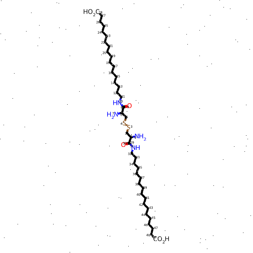 NC(CSSCC(N)C(=O)NCCCCCCCCCCCCCCCCCC(=O)O)C(=O)NCCCCCCCCCCCCCCCCCC(=O)O